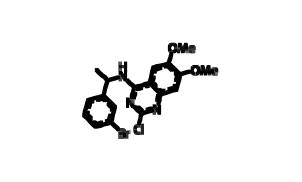 COc1cc2nc(Cl)nc(NC(C)c3cccc(Br)c3)c2cc1OC